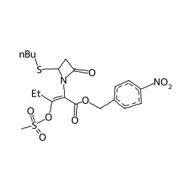 CCCCSC1CC(=O)N1/C(C(=O)OCc1ccc([N+](=O)[O-])cc1)=C(\CC)OS(C)(=O)=O